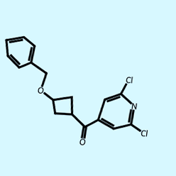 O=C(c1cc(Cl)nc(Cl)c1)C1CC(OCc2ccccc2)C1